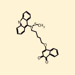 CSN(CCCCCOC1=CC(=O)C(=O)c2ccccc21)c1c2ccccc2nc2ccccc12